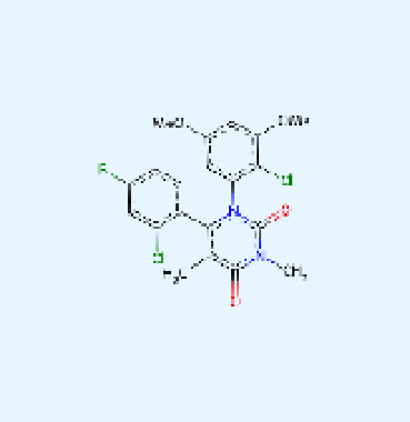 COc1cc(OC)c(Cl)c(-n2c(-c3ccc(F)cc3Cl)c(C)c(=O)n(C)c2=O)c1